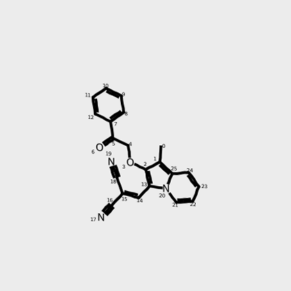 Cc1c(OCC(=O)c2ccccc2)c(C=C(C#N)C#N)n2ccccc12